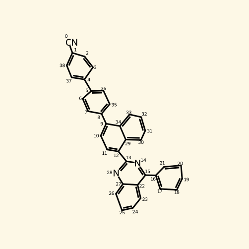 N#Cc1ccc(-c2ccc(-c3ccc(-c4nc(-c5ccccc5)c5ccccc5n4)c4ccccc34)cc2)cc1